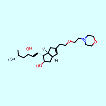 CCCC[C@H](C)C[C@H](O)/C=C/[C@@H]1[C@H]2CC(CCOCCN3CCOCC3)=C[C@H]2C[C@H]1O